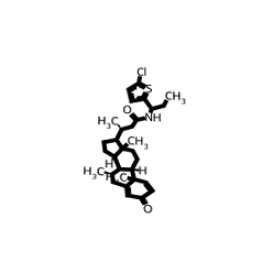 CCC(NC(=O)C[C@@H](C)C1CC[C@H]2C3[C@H](C)CC4=CC(=O)C=CC4(C)[C@H]3CCC12C)c1ccc(Cl)s1